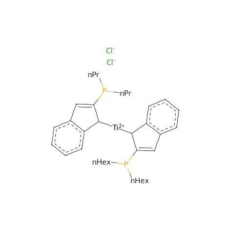 CCCCCCP(CCCCCC)C1=Cc2ccccc2[CH]1[Ti+2][CH]1C(P(CCC)CCC)=Cc2ccccc21.[Cl-].[Cl-]